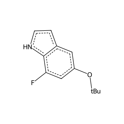 CC(C)(C)Oc1cc(F)c2[nH]ccc2c1